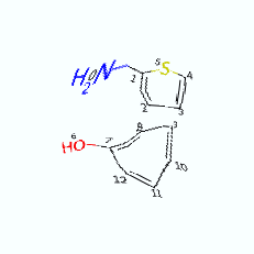 Nc1cccs1.Oc1ccccc1